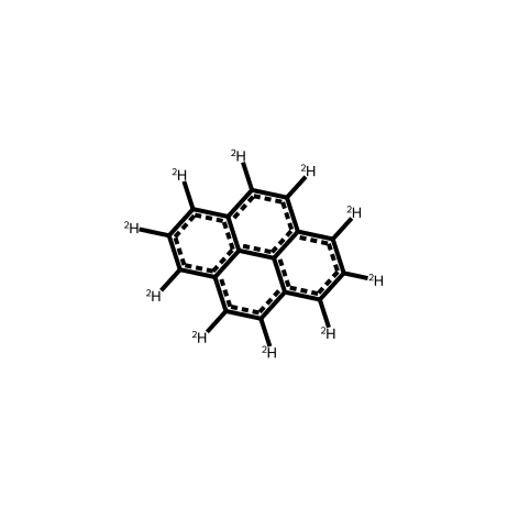 [2H]c1c([2H])c2c([2H])c([2H])c3c([2H])c([2H])c([2H])c4c([2H])c([2H])c(c1[2H])c2c34